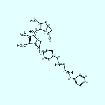 CC(=O)OC1=C(C(=O)O)N2C(=O)CC2C1.CC(=O)OC1=C(C(=O)O)N2C(=O)CC2C1.c1ccc(CNCCNCc2ccccc2)cc1